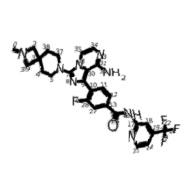 CN1CC2(CCN(c3nc(-c4ccc(C(=O)Nc5cc(C(F)(F)F)ccn5)cc4F)c4c(N)nccn34)CC2)C1